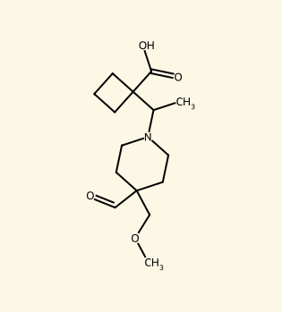 COCC1(C=O)CCN(C(C)C2(C(=O)O)CCC2)CC1